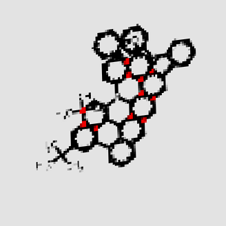 CC(C)(C)c1cc(-c2cccc3cccc(-c4ccccc4N(c4ccccc4-c4ccc5oc6ccccc6c5c4)c4ccccc4-c4cccc5c6ccccc6n(-c6ccccc6)c45)c23)cc(C(C)(C)C)c1